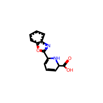 O=C(O)C1C=CC=C(c2nc3ccccc3o2)N1